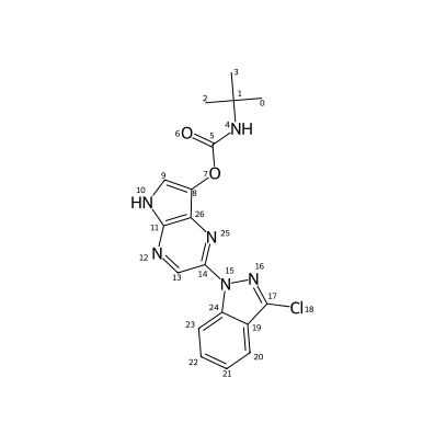 CC(C)(C)NC(=O)Oc1c[nH]c2ncc(-n3nc(Cl)c4ccccc43)nc12